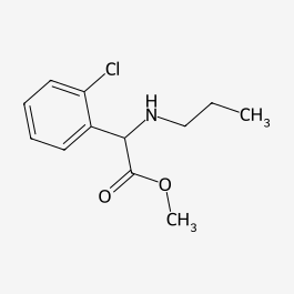 CCCNC(C(=O)OC)c1ccccc1Cl